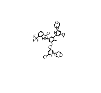 COc1cc(-c2cc(NC(=O)c3cccc(C(F)(F)F)c3)cc(COc3cc(Cl)nc(N4CCOCC4)c3)c2C)nc(N2CCOCC2)c1